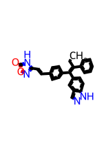 CC/C(=C(\c1ccc(C=Cc2noc(=O)[nH]2)cc1)c1ccc2[nH]ncc2c1)c1ccccc1